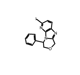 Ic1ccc2nc3n(c2n1)C(c1ccccc1)COC3